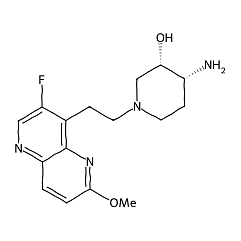 COc1ccc2ncc(F)c(CCN3CC[C@@H](N)[C@@H](O)C3)c2n1